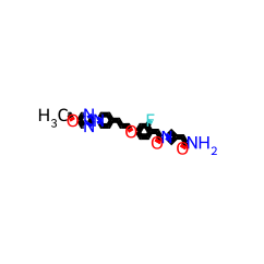 CCOc1cnc(N2CCC(CCCOc3ccc(CC(=O)N4CC(CC(N)=O)C4)c(F)c3)CC2)nc1